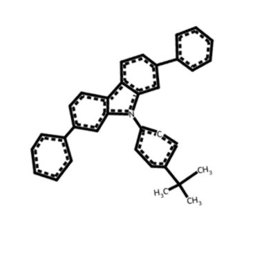 CC(C)(C)c1ccc(-n2c3cc(-c4ccccc4)ccc3c3ccc(-c4ccccc4)cc32)cc1